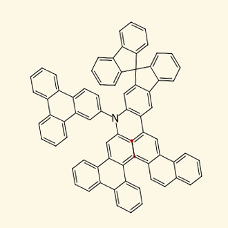 c1ccc2c(c1)-c1ccccc1C21c2ccccc2-c2cc(-c3ccc4ccc5ccccc5c4c3)c(N(c3ccc4c5ccccc5c5ccccc5c4c3)c3ccc4c5ccccc5c5ccccc5c4c3)cc21